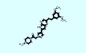 COc1cc(CCc2cnc3[nH]c(-c4cnn(CC(=O)N5CCN(C)CC5)c4)cc3n2)cc(OC)c1